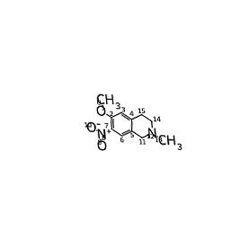 COc1cc2c(cc1[N+](=O)[O-])CN(C)CC2